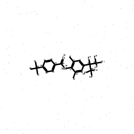 Cc1cc(C(F)(C(F)(F)F)C(F)(F)F)cc(C)c1NC(=O)c1ccc(C(C)(C)C)cc1